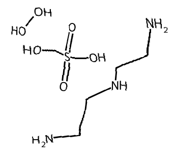 NCCNCCN.O=S(=O)(O)O.OO